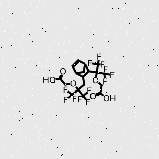 O=C(O)COC(CC1C2C=CC(C2)C1C(OCC(=O)O)(C(F)(F)F)C(F)(F)F)(C(F)(F)F)C(F)(F)F